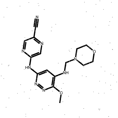 COc1nnc(Nc2cnc(C#N)cn2)cc1NCN1CCOCC1